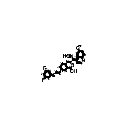 COc1ccc2nccc([C@@H](CC[C@@H]3CCN(CCSc4cc(F)cc(F)c4)C[C@@H]3C(=O)O)NO)c2c1